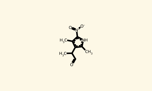 Cc1[nH]c([N+](=O)[O-])c(C)c1C(C)C=O